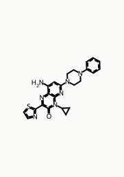 Nc1cc(N2CCN(c3ccccc3)CC2)nc2c1nc(-c1nccs1)c(=O)n2C1CC1